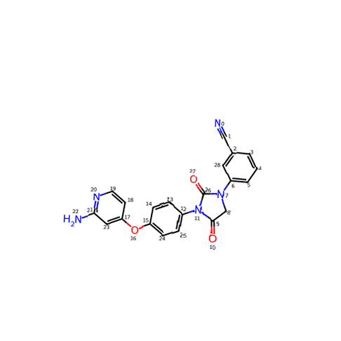 N#Cc1cccc(N2CC(=O)N(c3ccc(Oc4ccnc(N)c4)cc3)C2=O)c1